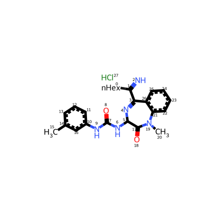 CCCCCCC(=N)C1=NC(NC(=O)Nc2cccc(C)c2)C(=O)N(C)c2ccccc21.Cl